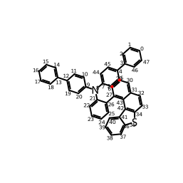 c1ccc(-c2ccc(N(c3ccc(-c4ccccc4)cc3)c3ccccc3-c3cccc4ccc5sc6ccccc6c5c34)cc2)cc1